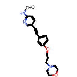 O=CNc1ccc(C#Cc2ccc(OCCCN3CCOCC3)cc2)cn1